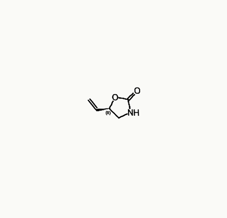 C=C[C@@H]1CNC(=O)O1